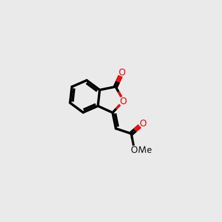 COC(=O)/C=C1\OC(=O)c2ccccc21